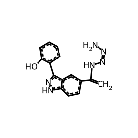 C=C(N/N=N\N)c1ccc2[nH]nc(-c3ccccc3O)c2c1